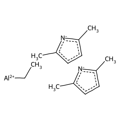 C[CH2][Al+2].Cc1ccc(C)[n-]1.Cc1ccc(C)[n-]1